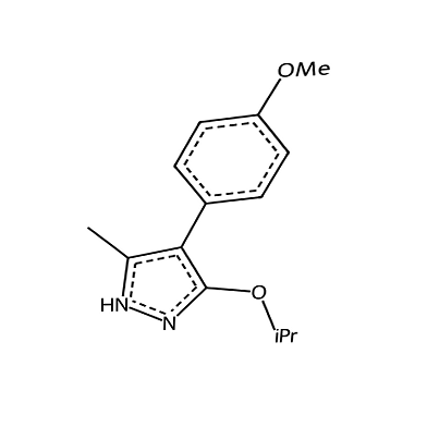 COc1ccc(-c2c(OC(C)C)n[nH]c2C)cc1